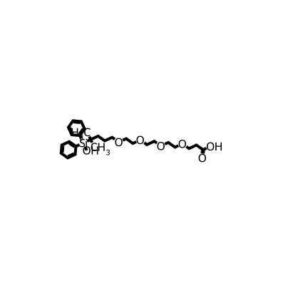 CC(C)(CCCOCCOCCOCCOCCC(=O)O)[Si](O)(c1ccccc1)c1ccccc1